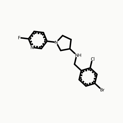 Fc1ccc(N2CCC(NCc3ccc(Br)cc3Cl)C2)cn1